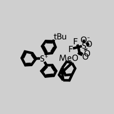 C1C2CC3CC1CC(C2)C3.CC(C)(C)c1ccc([S+](c2ccccc2)c2ccccc2)cc1.COC(=O)C(F)(F)S(=O)(=O)[O-]